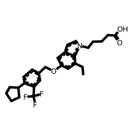 CCc1cc(OCc2ccc(C3CCCC3)c(C(F)(F)F)c2)cc2ccn(CCCCC(=O)O)c12